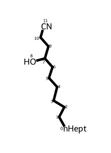 CCCCCCCCCCCCCC(O)CCC#N